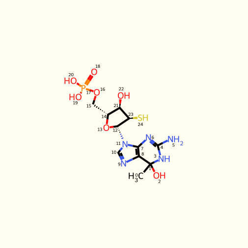 CC1(O)NC(N)=Nc2c1ncn2[C@@H]1O[C@H](COP(=O)(O)O)[C@@H](O)[C@H]1S